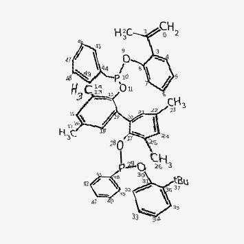 C=C(C)c1ccccc1OP(Oc1c(C)cc(C)cc1-c1cc(C)cc(C)c1OP(Oc1ccccc1C(C)(C)C)c1ccccc1)c1ccccc1